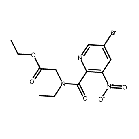 CCOC(=O)CN(CC)C(=O)c1ncc(Br)cc1[N+](=O)[O-]